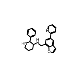 c1ccc(C2NCCCC2NCc2cc(-c3ccccn3)cc3ccoc23)cc1